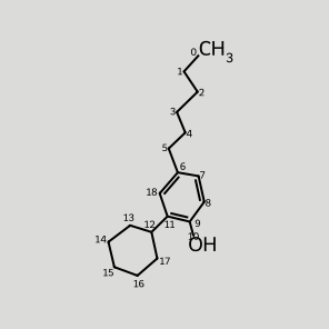 CCCCCCc1ccc(O)c(C2CCCCC2)c1